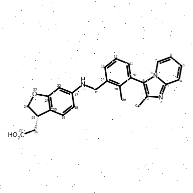 Cc1nc2ccccn2c1-c1cccc(CNc2ccc3c(c2)OC[C@H]3CC(=O)O)c1C